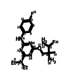 CCN(CC)c1nc(Nc2ccc(F)cc2)nc(OCC(C)(P)C(F)P)n1